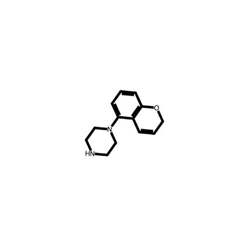 C1=Cc2c(cccc2N2CCNCC2)OC1